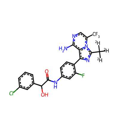 [2H]C([2H])([2H])c1nc(-c2ccc(NC(=O)C(O)c3cccc(Cl)c3)cc2F)c2c(N)ncc(C(F)(F)F)n12